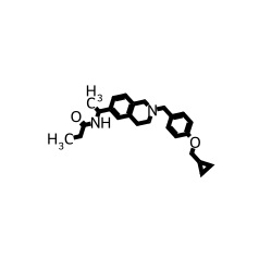 CCC(=O)NC(C)c1ccc2c(c1)CCN(Cc1ccc(OCC3CC3)cc1)C2